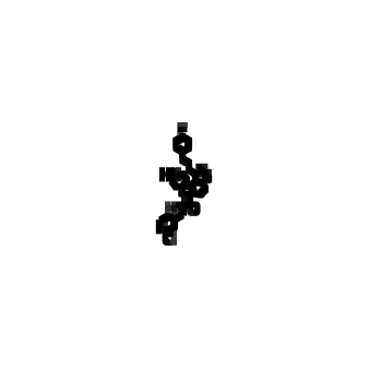 O=C(NCc1ccnc(Cl)c1)N1CC2(CCNCC2)c2c1ccc1snc(C/C=C/c3ccc(F)cc3)c21